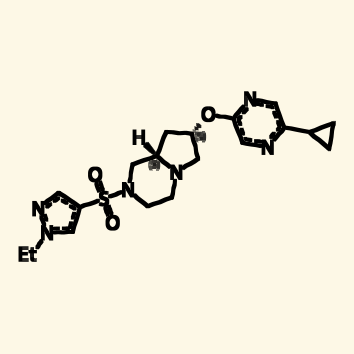 CCn1cc(S(=O)(=O)N2CCN3C[C@@H](Oc4cnc(C5CC5)cn4)C[C@H]3C2)cn1